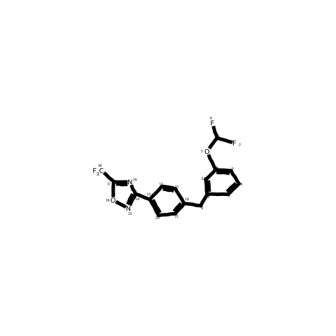 FC(F)Oc1cccc(Cc2ccc(-c3noc(C(F)(F)F)n3)cc2)c1